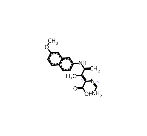 C=C(Nc1ccc2ccc(OC)cc2c1)/C(C)=C(\N=C/N)C(=O)O